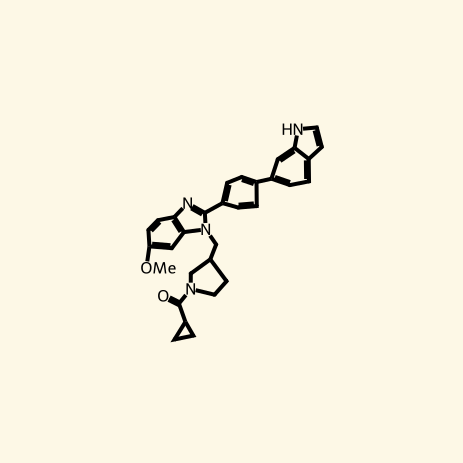 COc1ccc2nc(-c3ccc(-c4ccc5cc[nH]c5c4)cc3)n(CC3CCN(C(=O)C4CC4)C3)c2c1